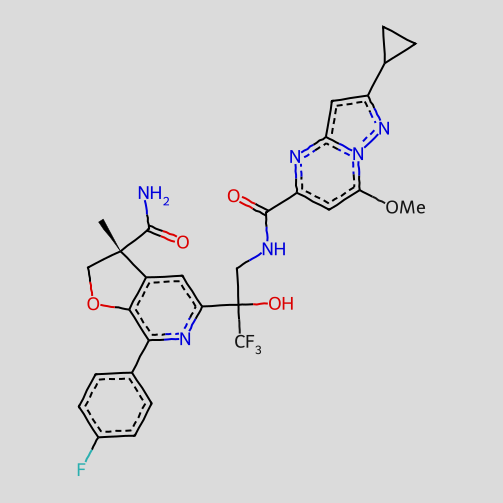 COc1cc(C(=O)NCC(O)(c2cc3c(c(-c4ccc(F)cc4)n2)OC[C@]3(C)C(N)=O)C(F)(F)F)nc2cc(C3CC3)nn12